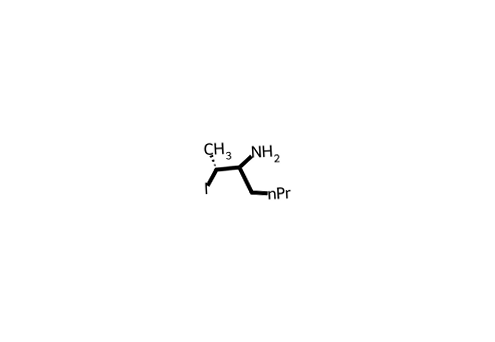 CCCCC(N)[C@@H](C)I